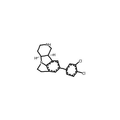 Clc1ccc(-c2cc3c4c(c2)[C@@H]2CNCC[C@@H]2N4CC3)cc1Cl